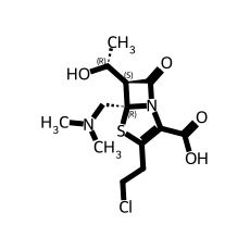 C[C@@H](O)[C@H]1C(=O)N2C(C(=O)O)=C(CCCl)S[C@@]12CN(C)C